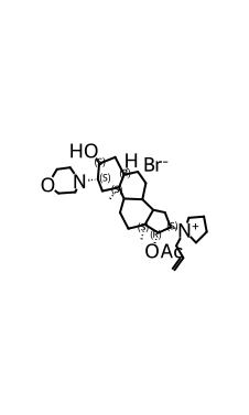 C=CC[N+]1([C@H]2CC3C4CC[C@@H]5C[C@H](O)[C@@H](N6CCOCC6)C[C@]5(C)C4CC[C@]3(C)[C@H]2OC(C)=O)CCCC1.[Br-]